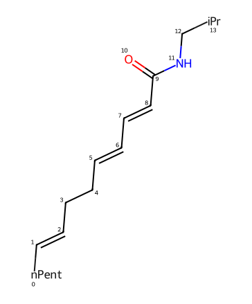 CCCCCC=CCCC=CC=CC(=O)NCC(C)C